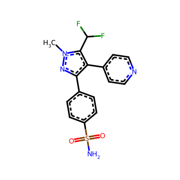 Cn1nc(-c2ccc(S(N)(=O)=O)cc2)c(-c2ccncc2)c1C(F)F